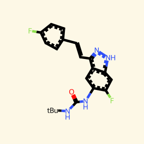 CC(C)(C)NC(=O)Nc1cc2c(C=Cc3ccc(F)cc3)n[nH]c2cc1F